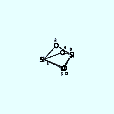 O1[Si]23O[Si]1(O2)O3